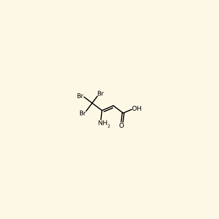 N/C(=C\C(=O)O)C(Br)(Br)Br